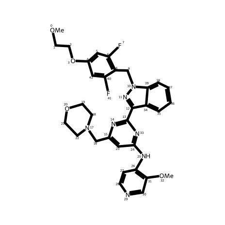 COCCOc1cc(F)c(Cn2nc(-c3nc(CN4CCOCC4)cc(Nc4ccncc4OC)n3)c3ccccc32)c(F)c1